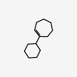 C1=C(C2CCCCC2)CCCCC1